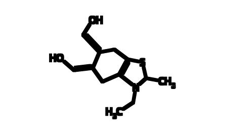 CCN1C2=C(CC(=CO)C(=CO)C2)SC1C